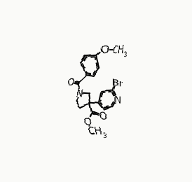 COC(=O)C1(c2ccnc(Br)c2)CCN(C(=O)c2ccc(OC)cc2)C1